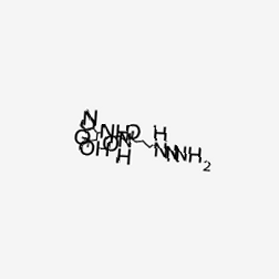 NN=CNCCCCC(=O)NCC(=O)NC(CC(=O)O)c1cccnc1